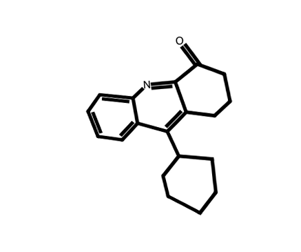 O=C1CCCc2c1nc1ccccc1c2C1CCCCC1